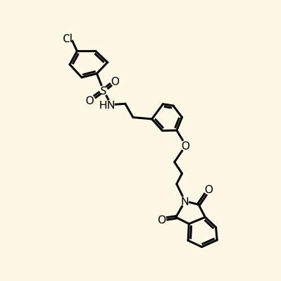 O=C1c2ccccc2C(=O)N1CCCOc1cccc(CCNS(=O)(=O)c2ccc(Cl)cc2)c1